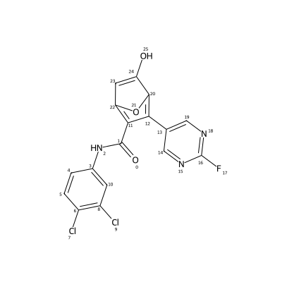 O=C(Nc1ccc(Cl)c(Cl)c1)c1c(-c2cnc(F)nc2)c2oc1cc2O